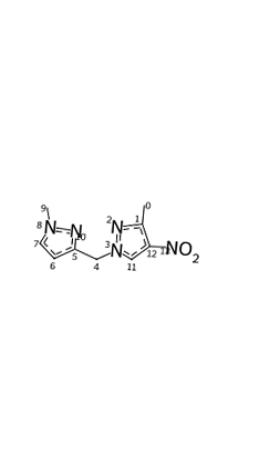 Cc1nn(Cc2ccn(C)n2)cc1[N+](=O)[O-]